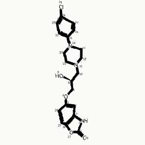 O=c1[nH]c2cc(OC[C@@H](O)CN3CCN(c4ccc(Cl)cc4)CC3)ccc2o1